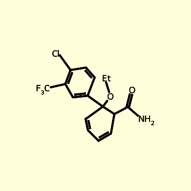 CCOC1(c2ccc(Cl)c(C(F)(F)F)c2)C=CC=CC1C(N)=O